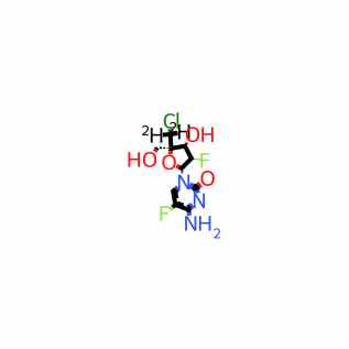 [2H]C([2H])(Cl)[C@]1(CO)O[C@@H](n2cc(F)c(N)nc2=O)[C@@H](F)[C@@H]1O